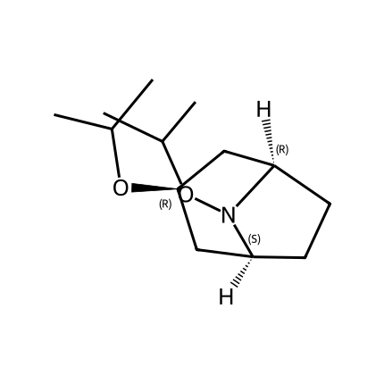 CC(C)O[C@H]1C[C@H]2CC[C@@H](C1)N2OC(C)C